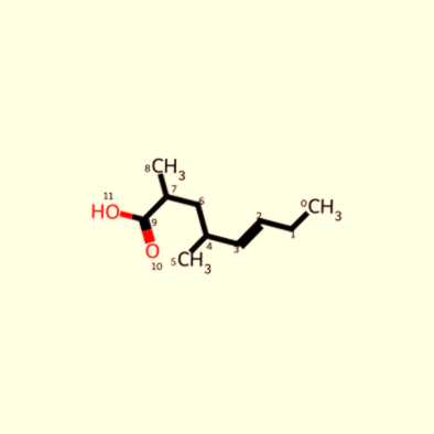 CCC=CC(C)CC(C)C(=O)O